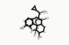 C[C@H](C1CC1)N1CC[C@]23c4c5ccc(O)c4O[C@H]2C(O)CCC3[C@H]1C5